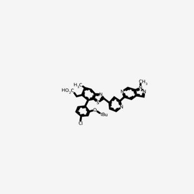 Cc1cc2nc(-c3ccnc(-c4cc5cnn(C)c5cn4)c3)sc2c(-c2ccc(Cl)cc2OC(C)(C)C)c1CC(=O)O